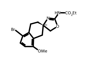 CCOC(=O)NC1=N[C@]2(CCc3c(Br)ccc(OC)c3C2)CO1